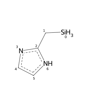 [SiH3]Cc1ncc[nH]1